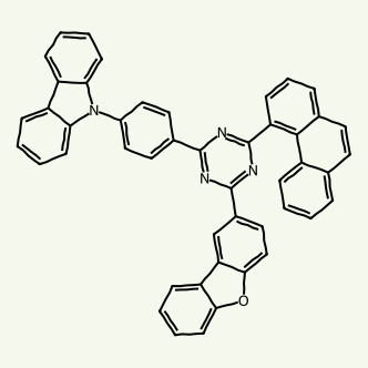 c1ccc2c(c1)ccc1cccc(-c3nc(-c4ccc(-n5c6ccccc6c6ccccc65)cc4)nc(-c4ccc5oc6ccccc6c5c4)n3)c12